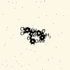 COc1cccc(C(=O)C(=N)CC(C)(CCN2CCC(C(N)=O)(c3ccccc3)CC2)c2ccc(Cl)c(Cl)c2)c1